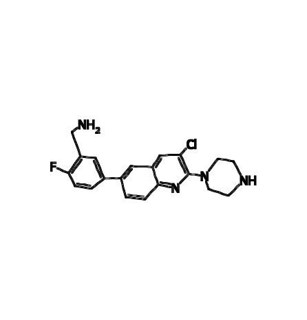 NCc1cc(-c2ccc3nc(N4CCNCC4)c(Cl)cc3c2)ccc1F